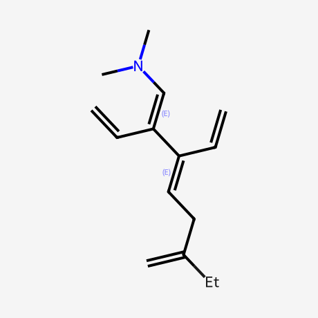 C=CC(=C\CC(=C)CC)/C(C=C)=C/N(C)C